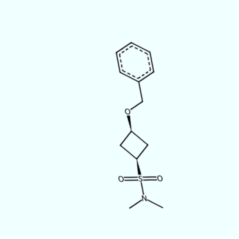 CN(C)S(=O)(=O)[C@H]1C[C@@H](OCc2ccccc2)C1